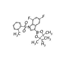 Cc1ccccc1S(=O)(=O)n1cc(B2OC(C)(C)C(C)(C)O2)c2cc(F)cc(F)c21